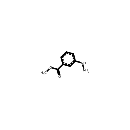 COC(=O)c1cccc(NN)c1